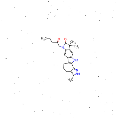 CCCC(=O)CN1C(=O)C(C)(C)c2cc3[nH]c4c(c3cc21)CCCc1c-4n[nH]c1C